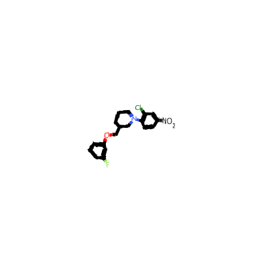 O=[N+]([O-])c1ccc(N2CCCC(COc3cccc(F)c3)C2)c(Cl)c1